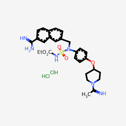 CCOC(=O)NS(=O)(=O)N(Cc1ccc2ccc(C(=N)N)cc2c1)c1ccc(OC2CCN(C(C)=N)CC2)cc1.Cl.Cl